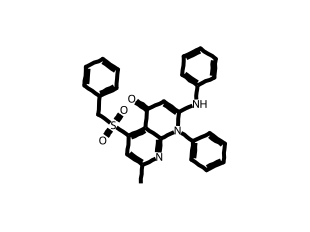 Cc1cc(S(=O)(=O)Cc2ccccc2)c2c(=O)cc(Nc3ccccc3)n(-c3ccccc3)c2n1